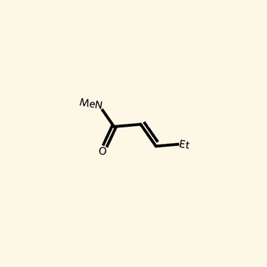 CCC=CC(=O)NC